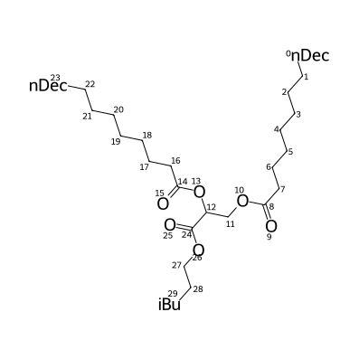 CCCCCCCCCCCCCCCCCC(=O)OCC(OC(=O)CCCCCCCCCCCCCCCCC)C(=O)OCCC(C)CC